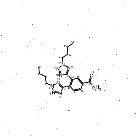 CCCCn1nnc(-c2ccc(C(N)=O)cc2-c2nnn(CCCC)n2)n1